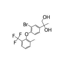 Cc1cccc(C(F)(F)F)c1Oc1ccc(C(C)(O)CO)cc1Br